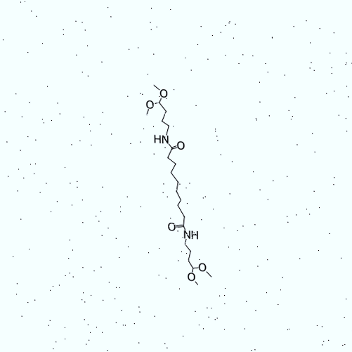 COC(CCCNC(=O)CCCCCCCCC(=O)NCCCC(OC)OC)OC